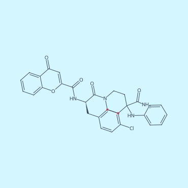 NC(=O)C1(Nc2ccccc2)CCN(C(=O)[C@@H](Cc2ccc(Cl)cc2)NC(=O)c2cc(=O)c3ccccc3o2)CC1